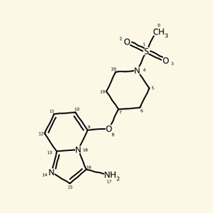 CS(=O)(=O)N1CCC(Oc2cccc3ncc(N)n23)CC1